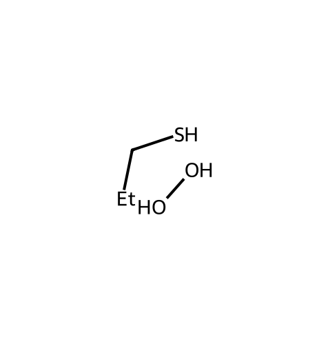 CCCS.OO